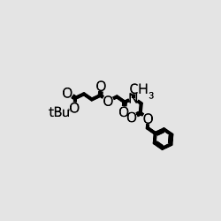 CN(CC(=O)OCc1ccccc1)C(=O)COC(=O)CCC(=O)OC(C)(C)C